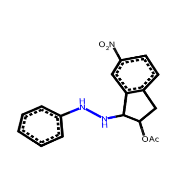 CC(=O)OC1Cc2ccc([N+](=O)[O-])cc2C1NNc1ccccc1